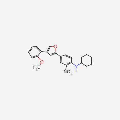 CN(c1ccc(-c2cc(-c3ccccc3OC(F)(F)F)co2)cc1[N+](=O)[O-])C1CCCCC1